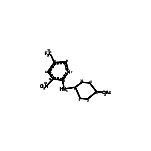 CC(=O)OC1CCC(Nc2ncc(C(F)(F)F)cc2[N+](=O)[O-])CC1